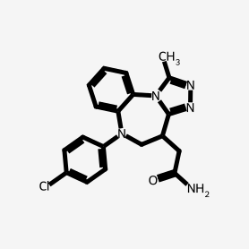 Cc1nnc2n1-c1ccccc1N(c1ccc(Cl)cc1)CC2CC(N)=O